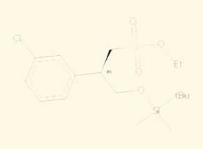 CCOS(=O)(=O)C[C@@H](CO[Si](C)(C)C(C)(C)C)c1cccc(Cl)c1